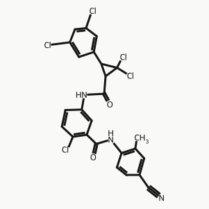 Cc1cc(C#N)ccc1NC(=O)c1cc(NC(=O)C2C(c3cc(Cl)cc(Cl)c3)C2(Cl)Cl)ccc1Cl